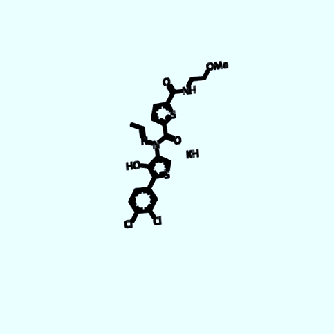 CC=NN(C(=O)c1ccc(C(=O)NCCOC)s1)c1csc(-c2ccc(Cl)c(Cl)c2)c1O.[KH]